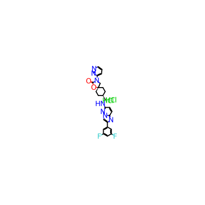 Cl.Cl.O=C1O[C@]2(CC[C@H](CNc3ccc4nc(-c5cc(F)cc(F)c5)cn4n3)CC2)CN1c1cccnn1